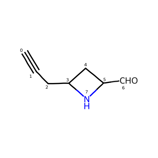 C#CCC1CC(C=O)N1